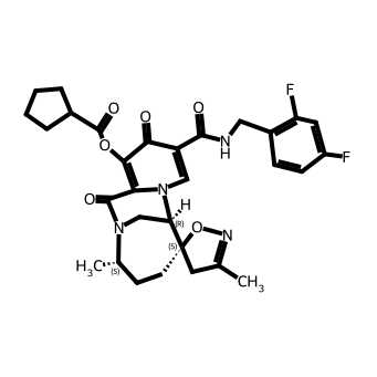 CC1=NO[C@@]2(CC[C@H](C)N3C[C@H]2n2cc(C(=O)NCc4ccc(F)cc4F)c(=O)c(OC(=O)C4CCCC4)c2C3=O)C1